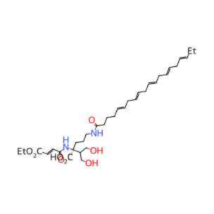 CCC=CCC=CCC=CCC=CCC=CCCCC(=O)NCCC[C@@](NC(=O)C=CC(=O)OCC)(C(=O)O)C(CO)CO